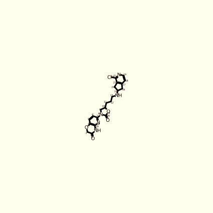 O=C1COc2ccc(N3CC(CCCNC4Cc5ccnc(Cl)c5C4)OC3=O)nc2N1